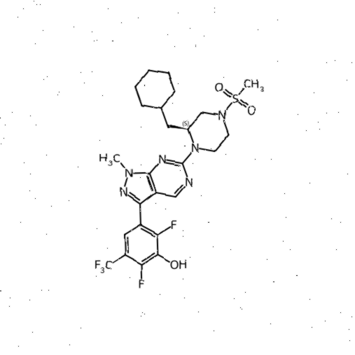 Cn1nc(-c2cc(C(F)(F)F)c(F)c(O)c2F)c2cnc(N3CCN(S(C)(=O)=O)C[C@@H]3CC3CCCCC3)nc21